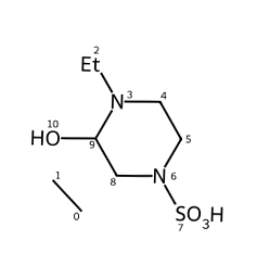 CC.CCN1CCN(S(=O)(=O)O)CC1O